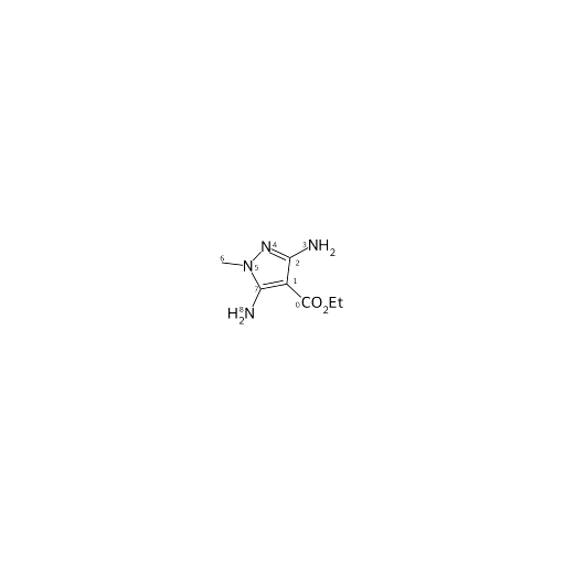 CCOC(=O)c1c(N)nn(C)c1N